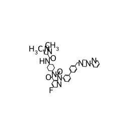 Cc1cc(C(=O)N[C@H]2CC[C@@H](n3c(=O)c4cc(F)cnc4n(-c4cccc(-c5ccc(CN6CCN(c7ccccn7)CC6)cc5)c4)c3=O)CC2)nn1C